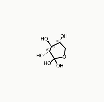 O[C@H]1[C@H](O)COC(O)(O)[C@@H]1O